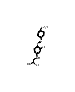 O=C(O)c1ccc(N=Nc2ccc(NCC(O)O)cc2Cl)cc1